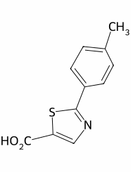 Cc1ccc(-c2ncc(C(=O)O)s2)cc1